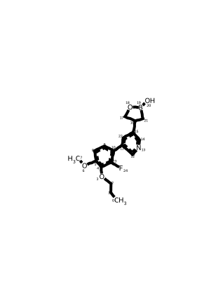 CCCOc1c(OC)ccc(-c2cncc(C3COB(O)C3)c2)c1F